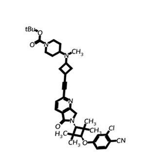 CN(C1CCN(C(=O)OC(C)(C)C)CC1)C1CC(C#Cc2ccc3c(n2)CN([C@H]2C(C)(C)[C@H](Oc4ccc(C#N)c(Cl)c4)C2(C)C)C3=O)C1